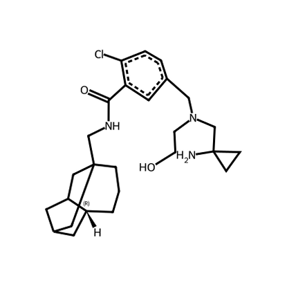 NC1(CN(CCO)Cc2ccc(Cl)c(C(=O)NCC34CCC[C@@H]5CC(CC5C3)C4)c2)CC1